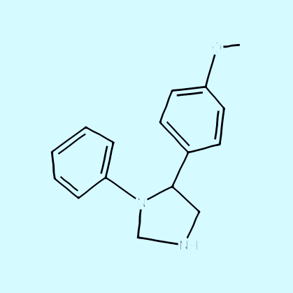 COc1ccc(C2CNCN2c2ccccc2)cc1